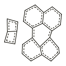 c1cc2ccc1-2.c1cc2cccc3c4cccc5cccc(c(c1)c23)c54